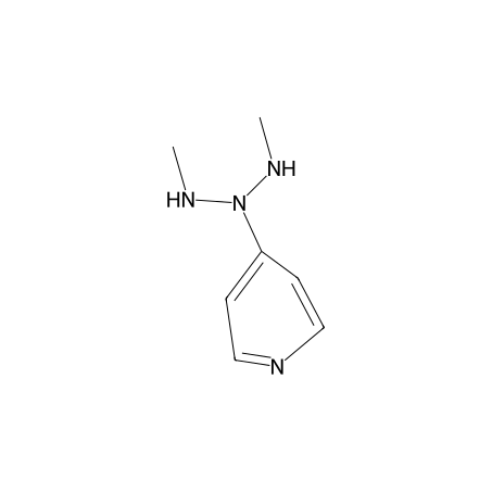 CNN(NC)c1ccncc1